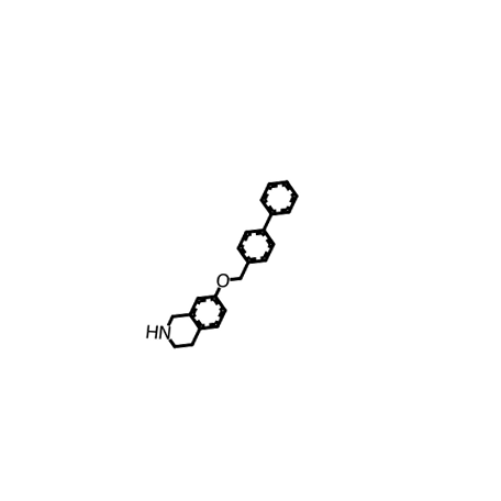 c1ccc(-c2ccc(COc3ccc4c(c3)CNCC4)cc2)cc1